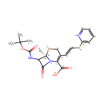 CC(C)(C)OC(=O)NC1C(=O)N2C(C(=O)O)=C(/C=C/Sc3ccccn3)CS[C@H]12